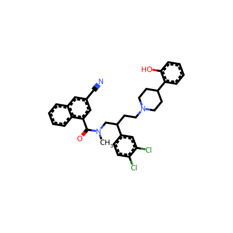 CN(CC(CCN1CCC(c2ccccc2O)CC1)c1ccc(Cl)c(Cl)c1)C(=O)c1cc(C#N)cc2ccccc12